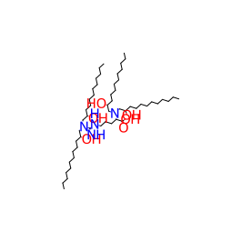 CCCCCCCCCCC(O)CN(CC(O)CCCCCCCCCC)C(=N)NCCCC(C(=O)O)N(CC(O)CCCCCCCCCC)CC(O)CCCCCCCCCC